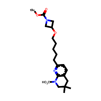 CC1(C)Cc2ccc(CCCCCOC3CN(C(=O)OC(C)(C)C)C3)nc2N(C(=O)O)C1